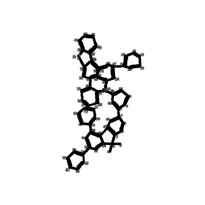 CC1(C)c2ccc(-c3cccc(N(c4cccc(-c5ccccc5)c4)c4ccccc4-c4ccc5c(c4)sc4ccccc45)c3)cc2-c2c(-c3ccccc3)cc(-c3ccccc3)cc21